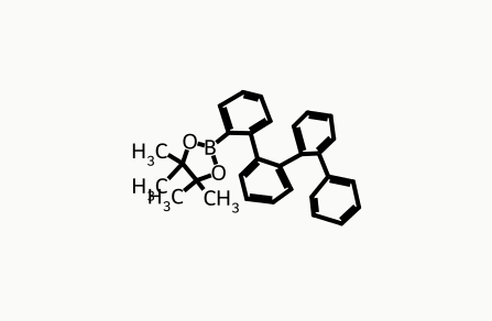 CC1(C)OB(c2ccccc2-c2ccccc2-c2ccccc2-c2ccccc2)OC1(C)C